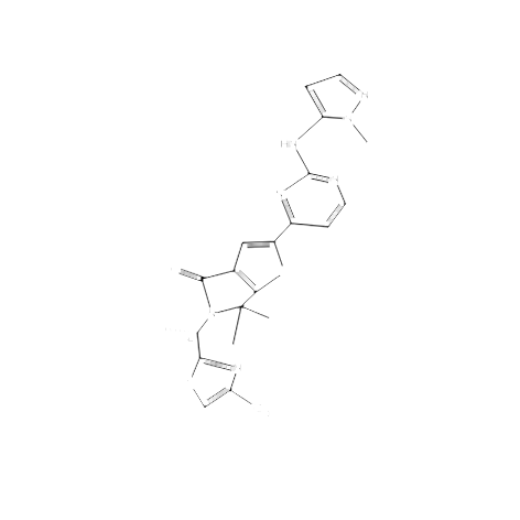 C[C@@H](c1nc(C(F)(F)F)cs1)N1C(=O)c2cc(-c3ccnc(Nc4ccnn4C)n3)sc2C1(C)C